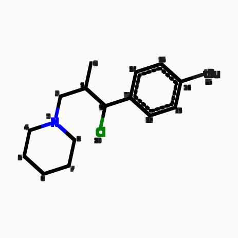 CC(CN1CCCCC1)C(Cl)c1ccc(C(C)(C)C)cc1